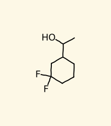 CC(O)C1CCCC(F)(F)C1